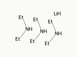 CCNCC.CCNCC.CCNCC.[LiH]